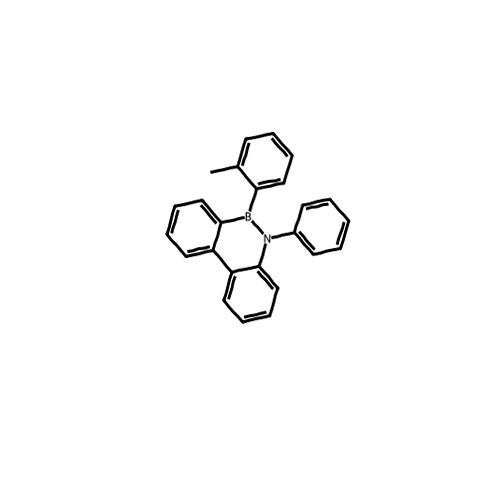 Cc1ccccc1B1c2ccccc2-c2ccccc2N1c1ccccc1